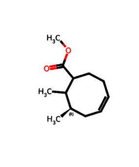 COC(=O)C1CCC=CC[C@@H](C)C1C